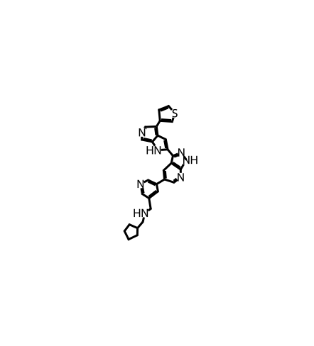 c1cc(-c2cncc3[nH]c(-c4n[nH]c5ncc(-c6cncc(CNCC7CCCC7)c6)cc45)cc23)cs1